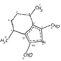 CC1CCC(C)c2c(C=O)[nH]c(C=O)c21